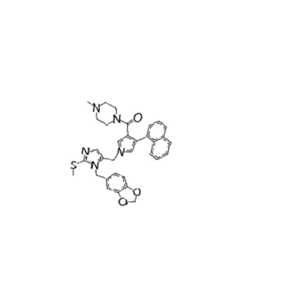 CSc1ncc(Cn2cc(C(=O)N3CCN(C)CC3)c(-c3cccc4ccccc34)c2)n1Cc1ccc2c(c1)OCO2